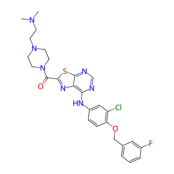 CN(C)CCN1CCN(C(=O)c2nc3c(Nc4ccc(OCc5cccc(F)c5)c(Cl)c4)ncnc3s2)CC1